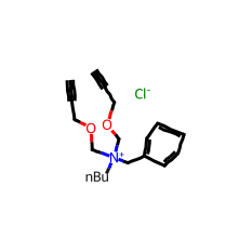 C#CCOC[N+](CCCC)(COCC#C)Cc1ccccc1.[Cl-]